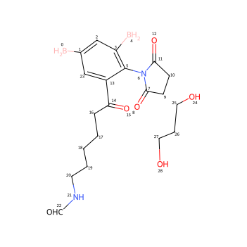 Bc1cc(B)c(N2C(=O)CCC2=O)c(C(=O)CCCCCNC=O)c1.OCCCO